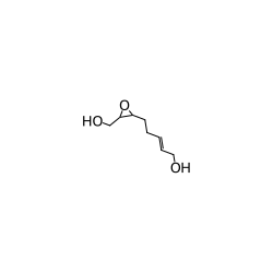 OCC=CCCC1OC1CO